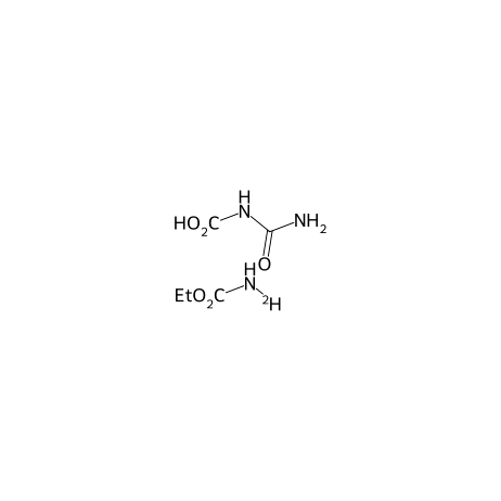 NC(=O)NC(=O)O.[2H]NC(=O)OCC